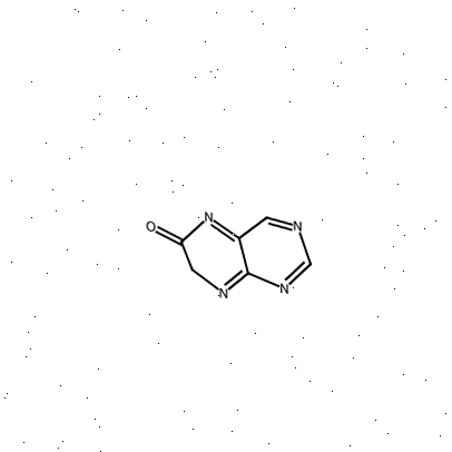 O=C1CN=c2ncncc2=N1